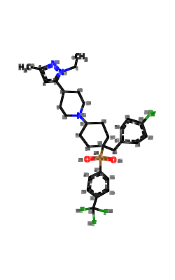 CCn1nc(C)cc1C1CCN(C2CCC(Cc3ccc(Br)cc3)(S(=O)(=O)c3ccc(C(F)(F)F)cc3)CC2)CC1